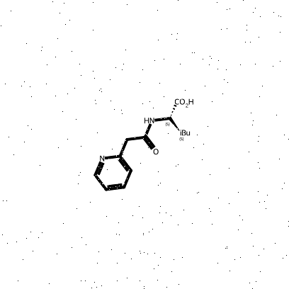 CC[C@H](C)[C@H](NC(=O)Cc1ccccn1)C(=O)O